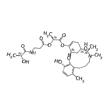 Cc1ccc(O)c2c1CCCN(C)[C@H](C)[C@]1(O)CC=C(OC(=O)[C@H](C)OC(=O)CCNC(=O)[C@H](C)O)[C@@H](C1)O2